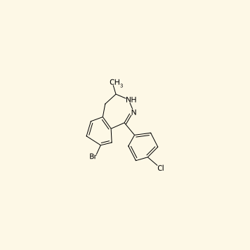 CC1Cc2ccc(Br)cc2C(c2ccc(Cl)cc2)=NN1